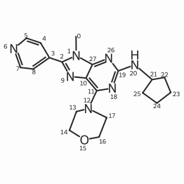 Cn1c(-c2ccncc2)nc2c(N3CCOCC3)nc(NC3CCCC3)nc21